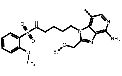 CCOCc1nc2c(N)ncc(C)c2n1CCCCNS(=O)(=O)c1ccccc1OC(F)(F)F